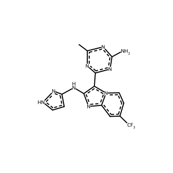 Cc1nc(N)nc(-c2c(Nc3cc[nH]n3)nc3cc(C(F)(F)F)ccn23)n1